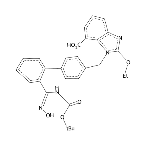 CCOc1nc2cccc(C(=O)O)c2n1Cc1ccc(-c2ccccc2C(=NO)NC(=O)OC(C)(C)C)cc1